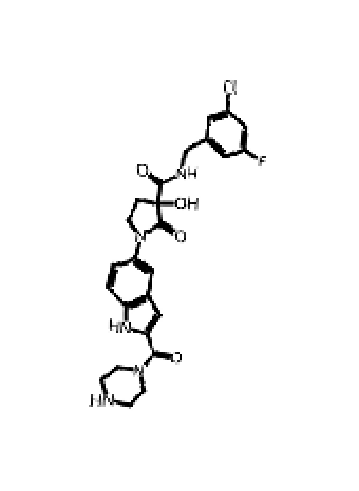 O=C(c1cc2cc(N3CCC(O)(C(=O)NCc4cc(F)cc(Cl)c4)C3=O)ccc2[nH]1)N1CCNCC1